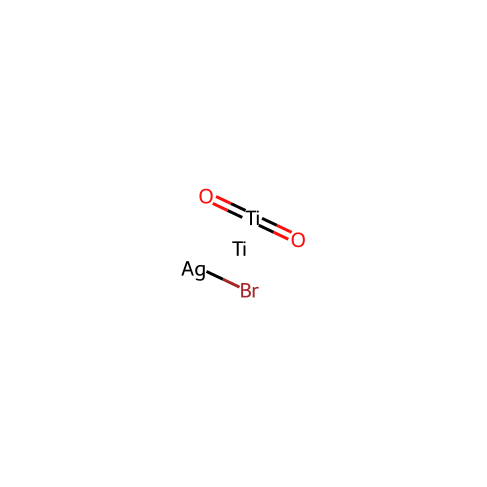 [Br][Ag].[O]=[Ti]=[O].[Ti]